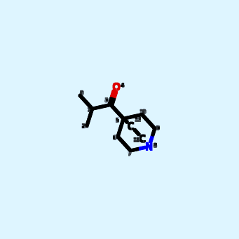 CC(C)C(=O)C12CCN(CC1)CC2